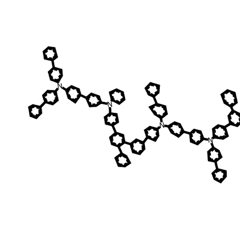 c1ccc(-c2ccc(N(c3ccc(-c4ccccc4)cc3)c3ccc(-c4ccc(N(c5ccccc5)c5ccc(-c6ccc(-c7ccccc7)c(-c7cccc(-c8ccc(N(c9ccc(-c%10ccccc%10)cc9)c9ccc(-c%10ccc(N(c%11ccc(-c%12ccccc%12)cc%11)c%11ccc(-c%12cccc(-c%13ccccc%13)c%12)cc%11)cc%10)cc9)cc8)c7)c6)cc5)cc4)cc3)cc2)cc1